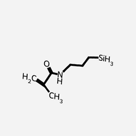 C=C(C)C(=O)NCCC[SiH3]